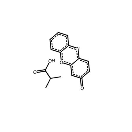 CC(C)C(=O)O.O=c1ccc2nc3ccccc3oc-2c1